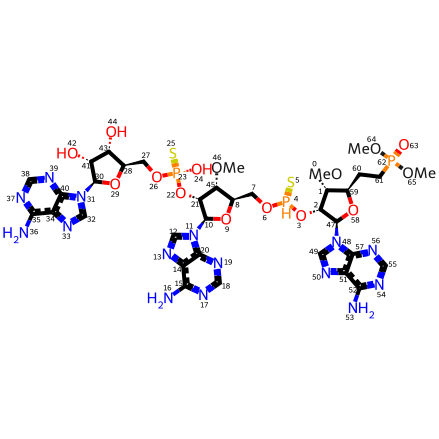 CO[C@H]1[C@@H](O[PH](=S)OC[C@H]2O[C@@H](n3cnc4c(N)ncnc43)[C@H](O[P@](O)(=S)OC[C@H]3O[C@@H](n4cnc5c(N)ncnc54)[C@H](O)[C@@H]3O)[C@@H]2OC)[C@H](n2cnc3c(N)ncnc32)O[C@@H]1CCP(=O)(OC)OC